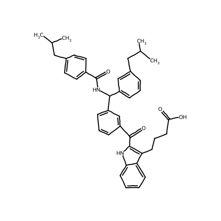 CC(C)Cc1ccc(C(=O)NC(c2cccc(CC(C)C)c2)c2cccc(C(=O)c3[nH]c4ccccc4c3CCCC(=O)O)c2)cc1